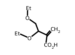 C=C(C(=O)O)C(COCC)OCC